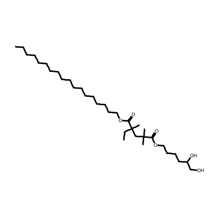 CCCCCCCCCCCCCCCCCCOC(=O)C(C)(CC)CC(C)(C)C(=O)OCCCCC(O)CO